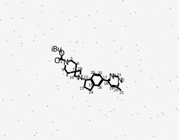 CCC(C)OC(=O)N1CCC2(CC1)CN([C@@H]1CCc3cc(-c4cc(C)ncn4)ccc31)C2